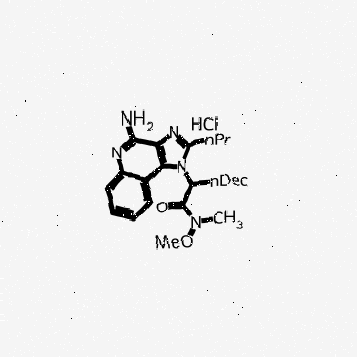 CCCCCCCCCCC(C(=O)N(C)OC)n1c(CCC)nc2c(N)nc3ccccc3c21.Cl